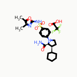 Cc1nc(NS(=O)(=O)c2ccc(N3CC[C@@H](C4CCCCC4)[C@H]3C(N)=O)cc2)oc1C.O=C(O)C(F)(F)F